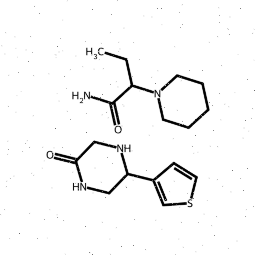 CCC(C(N)=O)N1CCCCC1.O=C1CNC(c2ccsc2)CN1